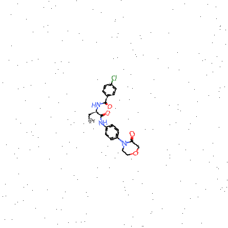 CC(C)C[C@@H](NC(=O)c1ccc(Cl)cc1)C(=O)Nc1ccc(N2CCOCC2=O)cc1